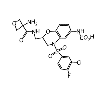 NC1(C(=O)NCC2CN(S(=O)(=O)c3ccc(F)c(Cl)c3)c3cc(NC(=O)O)ccc3O2)COC1